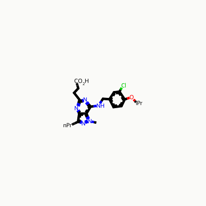 CCCc1nn(C)c2c(NCc3ccc(OC(C)C)c(Cl)c3)nc(CCC(=O)O)nc12